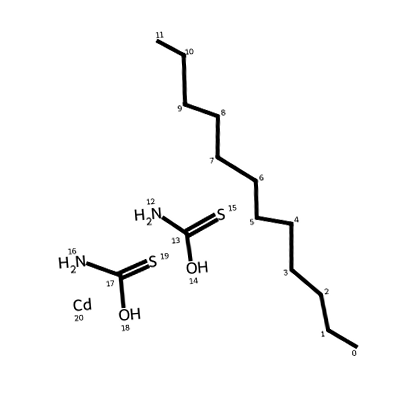 CCCCCCCCCCCC.NC(O)=S.NC(O)=S.[Cd]